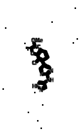 COC[C@H](C)Oc1c(C#N)ccc(-c2cnc(Nc3cn[nH]c3)nc2)c1Cl